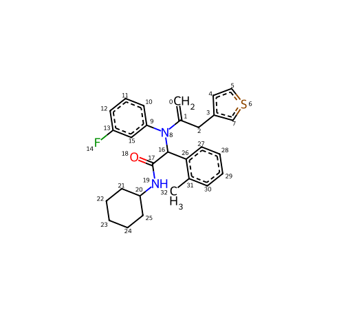 C=C(Cc1ccsc1)N(c1cccc(F)c1)C(C(=O)NC1CCCCC1)c1ccccc1C